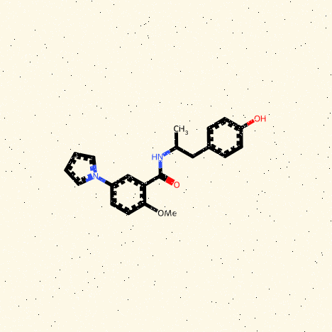 COc1ccc(-n2cccc2)cc1C(=O)NC(C)Cc1ccc(O)cc1